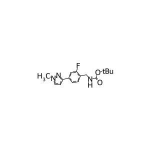 Cn1ccc(-c2ccc(CNC(=O)OC(C)(C)C)c(F)c2)n1